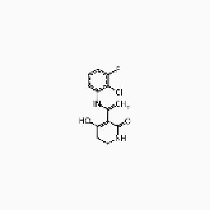 C=C(Nc1cccc(F)c1Cl)C1=C(O)CCNC1=O